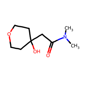 CN(C)C(=O)CC1(O)CCOCC1